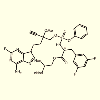 C#CC(CCn1cnc2c(N)nc(F)nc21)(COP(=O)(N[C@@H](Cc1cc(F)cc(F)c1)C(=O)OCC(CCCCCCCCC)CCCCCCCCC)Oc1ccccc1)OC